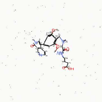 COc1cc(-c2cn(C)c(=O)c3cnccc23)cc(OC)c1CN(C)CC(=O)NCCCC(=O)O